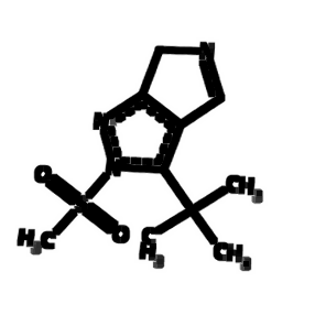 CC(C)(C)c1c2c(nn1S(C)(=O)=O)CN=C2